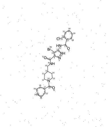 O=C(Nc1[nH]nc(C(=O)NCC2CCN(C(=O)c3ccncc3)CC2)c1Br)c1ccccc1Cl